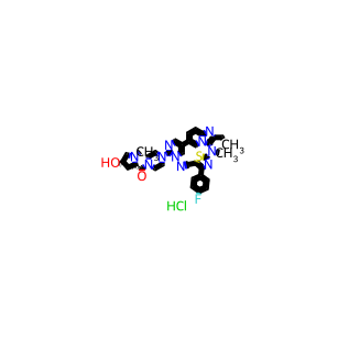 CCc1nc2ccc(-c3cnc(N4CCN(C(=O)[C@@H]5C[C@@H](O)CN5C)CC4)nc3)cn2c1N(C)c1nc(-c2ccc(F)cc2)c(C#N)s1.Cl